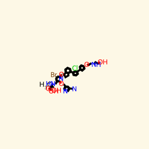 CC(CO)(NCc1cc(Br)c(O[C@H]2CCc3c(-c4cccc(-c5ccc(OCCNCCO)cc5)c4Cl)cccc32)nc1OCc1cncc(C#N)c1)C(=O)O